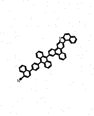 N#Cc1ccc(-c2ccc(-c3c4ccccc4c(-c4ccc5c(c4)c4ccccc4c4cc6c(cc54)sc4ccc5ccccc5c46)c4ccccc34)cc2)c2ccccc12